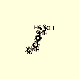 C#C[C@H](CC(=O)O)NC(=O)c1ccc(N2CCC(Nc3ncccn3)CC2)cc1